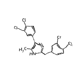 Cc1[nH]c(Cc2ccc(Cl)c(Cl)c2)nc1-c1ccc(Cl)c(Cl)c1